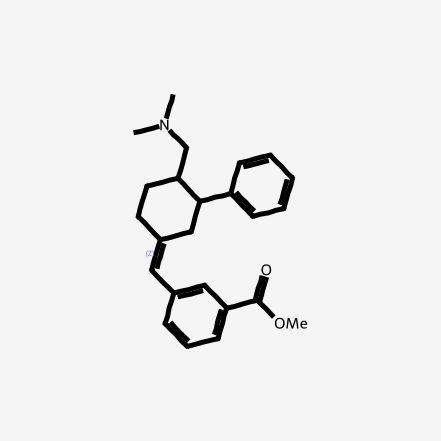 COC(=O)c1cccc(/C=C2/CCC(CN(C)C)C(c3ccccc3)C2)c1